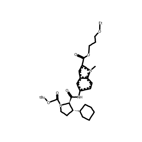 CCOCCCOC(=O)c1cc2cc(NC(=O)[C@H]3[C@H](C4CCCCC4)CCN3C(=O)OC(C)(C)C)ccc2n1C